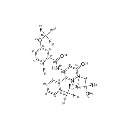 [2H]C([2H])(O)Cn1nc(-c2ccccc2C(F)(F)F)c(NC(=O)c2cc(OC(F)(F)F)ccc2F)cc1=O